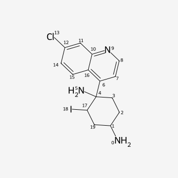 NC1CCC(N)(c2ccnc3cc(Cl)ccc23)C(I)C1